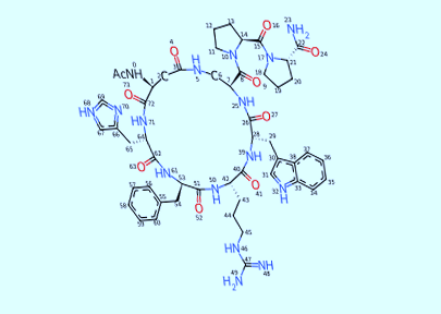 CC(=O)N[C@H]1CC(=O)NC[C@@H](C(=O)N2CCC[C@H]2C(=O)N2CCC[C@H]2C(N)=O)NC(=O)[C@H](Cc2c[nH]c3ccccc23)NC(=O)[C@H](CCCNC(=N)N)NC(=O)[C@@H](Cc2ccccc2)NC(=O)[C@H](Cc2c[nH]cn2)NC1=O